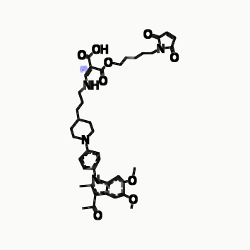 COc1cc2c(C(C)=O)c(C)n(-c3ccc(N4CCC(CCCN/C=C(/C(=O)O)C(=O)OCCCCCN5C(=O)C=CC5=O)CC4)cc3)c2cc1OC